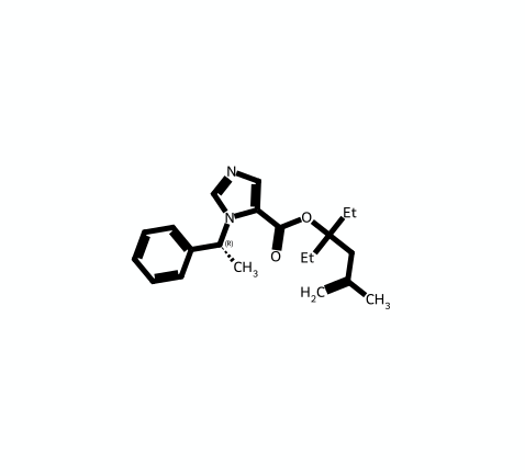 C=C(C)CC(CC)(CC)OC(=O)c1cncn1[C@H](C)c1ccccc1